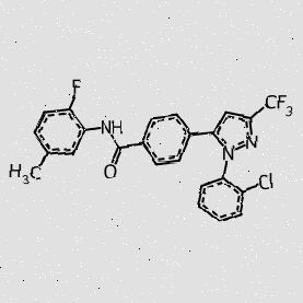 Cc1ccc(F)c(NC(=O)c2ccc(-c3cc(C(F)(F)F)nn3-c3ccccc3Cl)cc2)c1